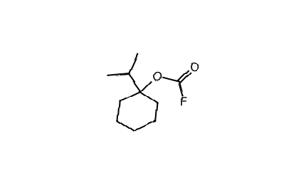 CC(C)C1(OC(=O)F)CCCCC1